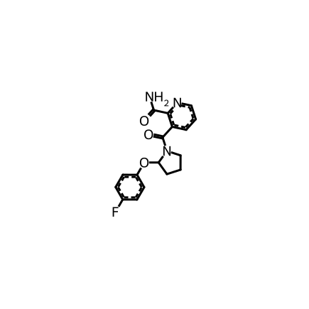 NC(=O)c1ncccc1C(=O)N1CCCC1Oc1ccc(F)cc1